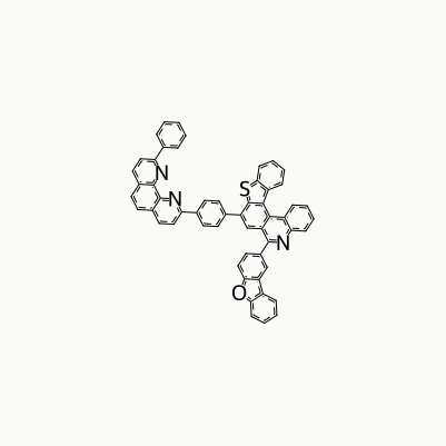 c1ccc(-c2ccc3ccc4ccc(-c5ccc(-c6cc7c(-c8ccc9oc%10ccccc%10c9c8)nc8ccccc8c7c7c6sc6ccccc67)cc5)nc4c3n2)cc1